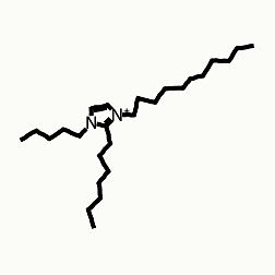 CCCCCCCCCCC[n+]1ccn(CCCCC)c1CCCCCCC